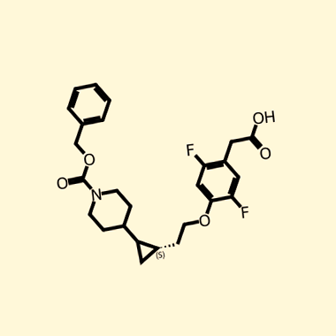 O=C(O)Cc1cc(F)c(OCC[C@@H]2CC2C2CCN(C(=O)OCc3ccccc3)CC2)cc1F